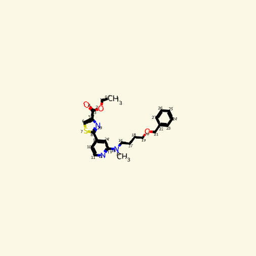 CCOC(=O)c1csc(-c2ccnc(N(C)CCCCOCc3ccccc3)c2)n1